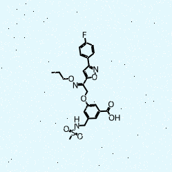 CCCON=C(COc1cc(CNS(C)(=O)=O)cc(C(=O)O)c1)c1cc(-c2ccc(F)cc2)no1